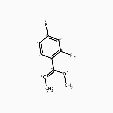 [CH2-]/[O+]=C(\OC)c1ccc(F)cc1F